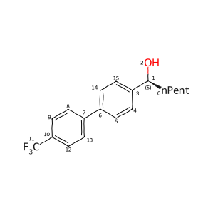 CCCCC[C@H](O)c1ccc(-c2ccc(C(F)(F)F)cc2)cc1